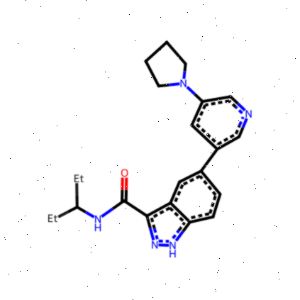 CCC(CC)NC(=O)c1n[nH]c2ccc(-c3cncc(N4CCCC4)c3)cc12